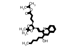 CCCCC[C@@H](O)c1cc2ccccc2nc1/C=C/[C@H]1OC(C)(C)O[C@H]1CCCC(=O)OC(C)C